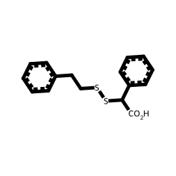 O=C(O)C(SSCCc1ccccc1)c1ccccc1